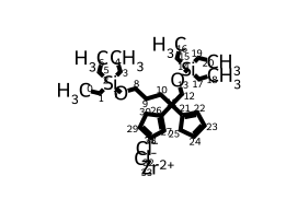 CC[Si](CC)(CC)OCCCC(CO[Si](CC)(CC)CC)(C1=CC=CC1)C1=CC=CC1.[Cl-].[Cl-].[Zr+2]